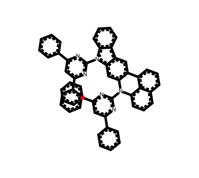 c1ccc(-c2cc(-c3ccccc3)nc(N3c4cc5c(cc4-c4cccc6cccc3c46)c3ccccc3n5-c3nc(-c4ccccc4)cc(-c4ccccc4)n3)n2)cc1